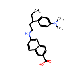 CCC(CCNc1ccc2cc(C(=O)O)ccc2c1)c1ccc(N(C)C)cc1